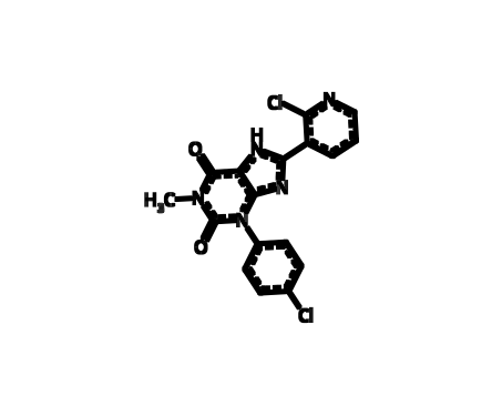 Cn1c(=O)c2[nH]c(-c3cccnc3Cl)nc2n(-c2ccc(Cl)cc2)c1=O